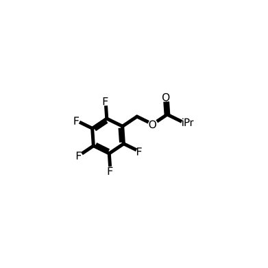 CC(C)C(=O)OCc1c(F)c(F)c(F)c(F)c1F